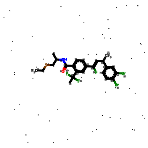 CC(CSCC(F)(F)F)NC(=O)c1ccc(/C(F)=C/C(c2ccc(Br)c(Br)c2)C(F)(F)F)cc1C(C)(F)F